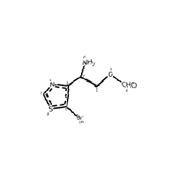 NC(COC=O)c1ncsc1Br